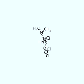 CCCN(CCC)CCCn1c(=N)n(CCCOc2ccc(Cl)cc2Cl)c2ccccc21